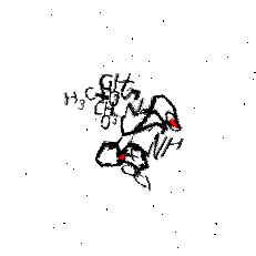 CCN1[C@@H](C(=O)OC(C)(C)C)[C@H](c2cccc(Cl)c2F)[C@]2(C(=O)Nc3cc(Cl)ccc32)C12CCCCC2